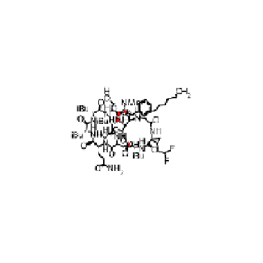 C=CCCCCC[C@@H]1NC(=O)[C@H](NC(=O)[C@H](CO)NC(=O)[C@@H](NC(=O)[C@H](NC(=O)[C@@H](CCC(N)=O)NC(=O)[C@H](CO)NC(=O)[C@@H](NC(=O)[C@@H](Cc2ccccc2)NC)[C@@H](C)CC)[C@@H](C)CC)[C@@H](C)CC)[C@H](C)OC(=O)[C@H]([C@@H](C)CC)NC(=O)C2(CC2CC(F)F)NC1=O